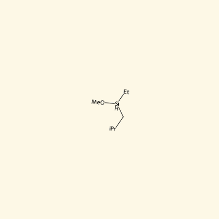 CC[SiH](CC(C)C)OC